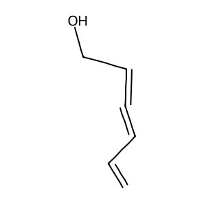 C=CC=C=CCO